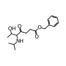 CC(C)NC(C(=O)CCC(=O)OCc1ccccc1)C(C)O